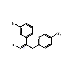 O/N=C(/Cc1ccc(C(F)(F)F)cn1)c1cccc(Br)c1